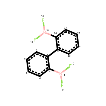 FB(F)c1ccccc1-c1ccccc1B(F)F